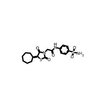 NS(=O)(=O)c1ccc(NC(=O)CN2C(=O)SC(=C3CCCCCC3)C2=O)cc1